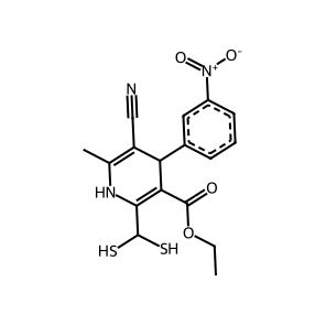 CCOC(=O)C1=C(C(S)S)NC(C)=C(C#N)C1c1cccc([N+](=O)[O-])c1